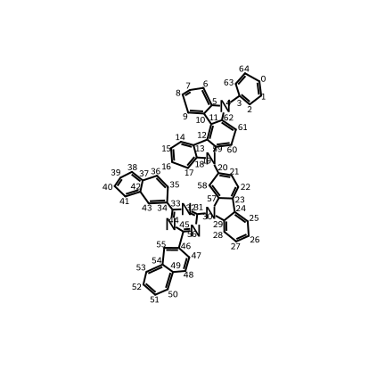 c1ccc(-n2c3ccccc3c3c4c5ccccc5n(-c5ccc6c7ccccc7n(-c7nc(-c8ccc9ccccc9c8)nc(-c8ccc9ccccc9c8)n7)c6c5)c4ccc32)cc1